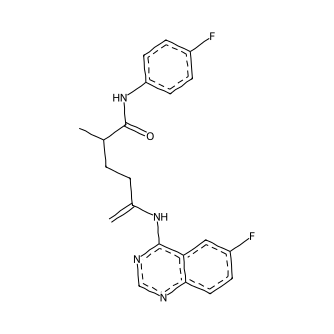 C=C(CCC(C)C(=O)Nc1ccc(F)cc1)Nc1ncnc2ccc(F)cc12